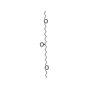 CCCCOCCCCCCCCC(=O)CCCCCCCCOCCCC